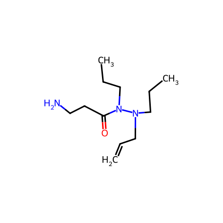 C=CCN(CCC)N(CCC)C(=O)CCN